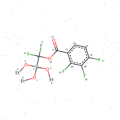 CCO[Si](OCC)(OCC)C(F)(F)OC(=O)c1ccc(F)c(F)c1F